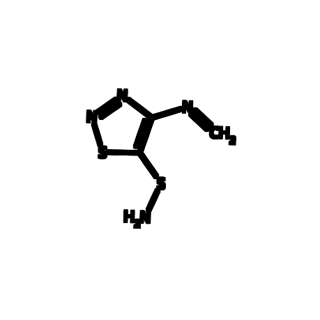 C=Nc1nnsc1SN